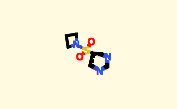 O=S(=O)(c1cncnc1)N1CCC1